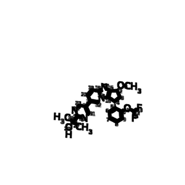 CO[C@@H]1C[C@H](c2ccccc2OC(F)F)c2c1nc1ccc(-c3cnc(C(C)(C)O)nc3)cn21